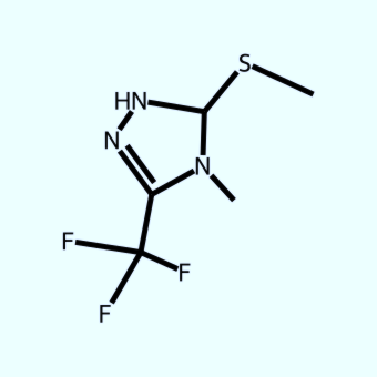 CSC1NN=C(C(F)(F)F)N1C